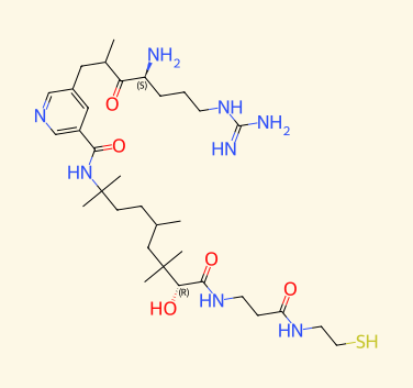 CC(CCC(C)(C)NC(=O)c1cncc(CC(C)C(=O)[C@@H](N)CCCNC(=N)N)c1)CC(C)(C)[C@@H](O)C(=O)NCCC(=O)NCCS